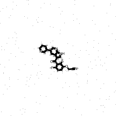 N#CCOc1ccc(F)c(C(=O)c2c[nH]c3ncc(-c4cccnc4)cc23)c1F